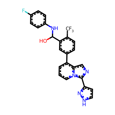 OC(Nc1ccc(F)cc1)c1cc(-c2cccn3c(-c4cc[nH]n4)ncc23)ccc1C(F)(F)F